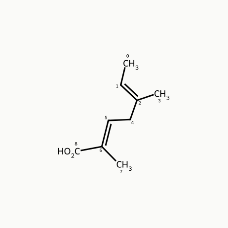 CC=C(C)CC=C(C)C(=O)O